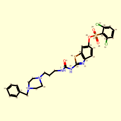 O=C(NCCCN1CCN(Cc2ccccc2)CC1)Nc1nc2ccc(OS(=O)(=O)c3c(Cl)cccc3Cl)cc2s1